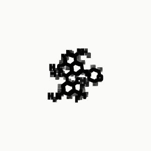 Cc1c(C(C)c2cc(N3CCOCC3)cc3c(N)nnc(C)c23)cc(N)cc1C(F)(F)F